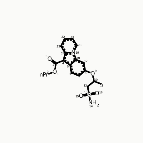 CCCOC(=O)c1c2ccc(OC(C)CS(N)(=O)=O)cc2n2ccccc12